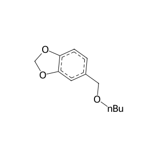 CCCCOCc1ccc2c(c1)OCO2